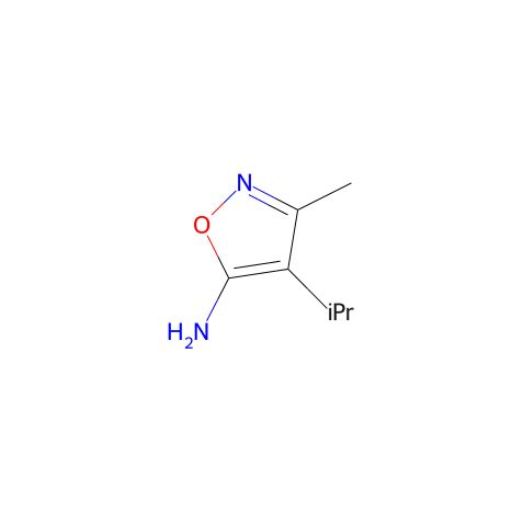 Cc1noc(N)c1C(C)C